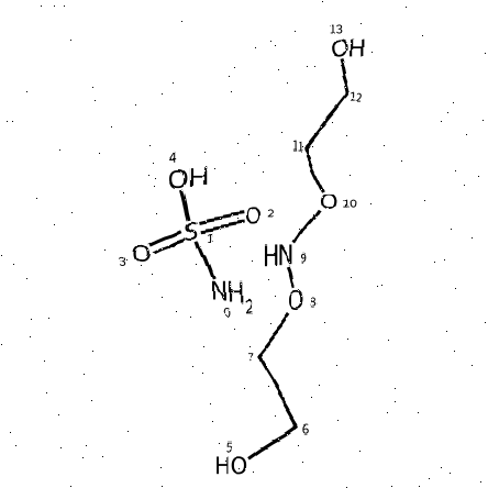 NS(=O)(=O)O.OCCONOCCO